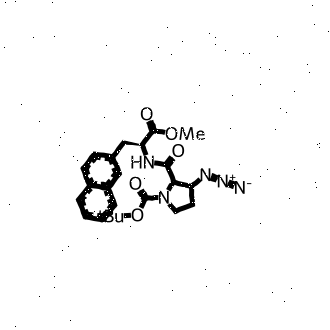 COC(=O)[C@H](Cc1ccc2ccccc2c1)NC(=O)C1C(N=[N+]=[N-])CCN1C(=O)OC(C)(C)C